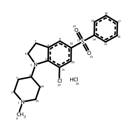 CN1CCC(N2CCc3cc(S(=O)(=O)c4ccccc4)cc(Cl)c32)CC1.Cl